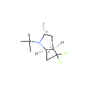 C[C@@H]1C[C@@H]2[C@@H](CC2(F)F)N1C(C)(C)C